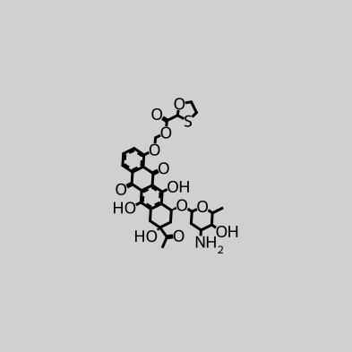 CC(=O)[C@]1(O)Cc2c(O)c3c(c(O)c2[C@@H](OC2CC(N)C(O)C(C)O2)C1)C(=O)c1c(OCOC(=O)C2OCCS2)cccc1C3=O